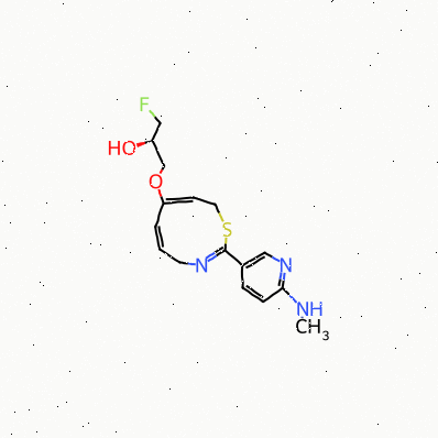 CNc1ccc(/C2=N/C/C=C\C(OC[C@@H](O)CF)=C/CS2)cn1